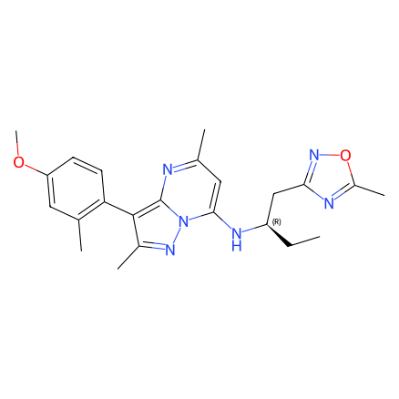 CC[C@H](Cc1noc(C)n1)Nc1cc(C)nc2c(-c3ccc(OC)cc3C)c(C)nn12